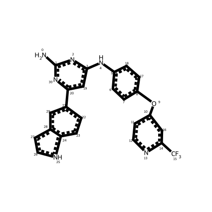 Nc1nc(Nc2ccc(Oc3ccnc(C(F)(F)F)c3)cc2)cc(-c2ccc3[nH]ccc3c2)n1